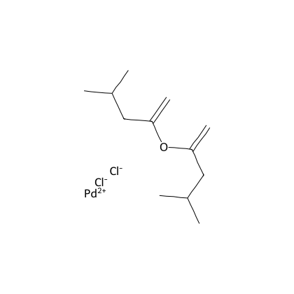 C=C(CC(C)C)OC(=C)CC(C)C.[Cl-].[Cl-].[Pd+2]